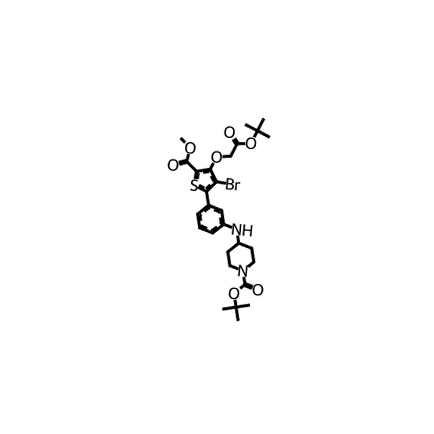 COC(=O)c1sc(-c2cccc(NC3CCN(C(=O)OC(C)(C)C)CC3)c2)c(Br)c1OCC(=O)OC(C)(C)C